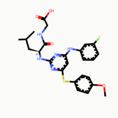 COc1ccc(Sc2cc(Nc3cccc(F)c3)nc(N[C@@H](CC(C)C)C(=O)NCC(=O)O)n2)cc1